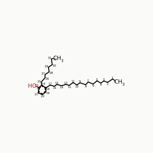 CCCCCCCCCCCCCCCCCCc1cccc(O)c1CCCCCCCC